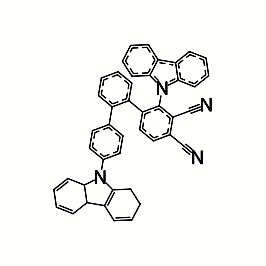 N#Cc1ccc(-c2ccccc2-c2ccc(N3C4=C(C=CCC4)C4C=CC=CC43)cc2)c(-n2c3ccccc3c3ccccc32)c1C#N